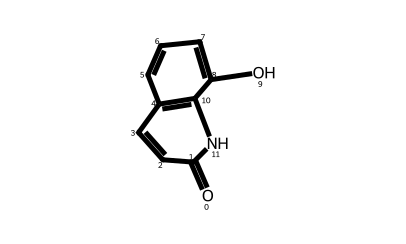 O=c1ccc2[c]ccc(O)c2[nH]1